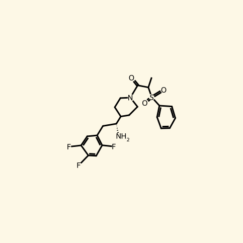 CC(C(=O)N1CCC([C@H](N)Cc2cc(F)c(F)cc2F)CC1)S(=O)(=O)c1ccccc1